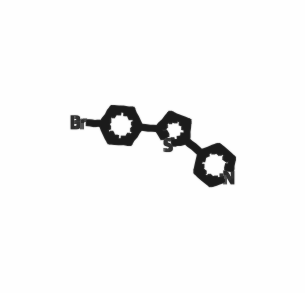 Brc1ccc(-c2ccc(-c3ccncc3)s2)cc1